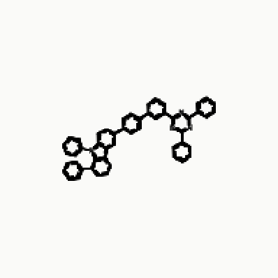 c1ccc(-c2nc(-c3ccccc3)nc(-c3cccc(-c4ccc(-c5ccc6c(c5)c5cccc(-c7ccccc7)c5n6-c5ccccc5)cc4)c3)n2)cc1